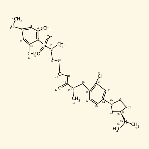 COc1cc(C)c(S(=O)(=O)N(C)CCOCC(=O)N(C)Cc2ccc(N3CC[C@@H](N(C)C)C3)cc2Cl)c(C)c1